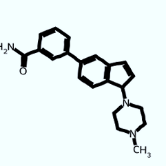 CN1CCN(C2C=Cc3cc(-c4cccc(C(N)=O)c4)ccc32)CC1